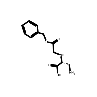 NC[C@@H](NCC(=O)OCc1ccccc1)C(=O)O